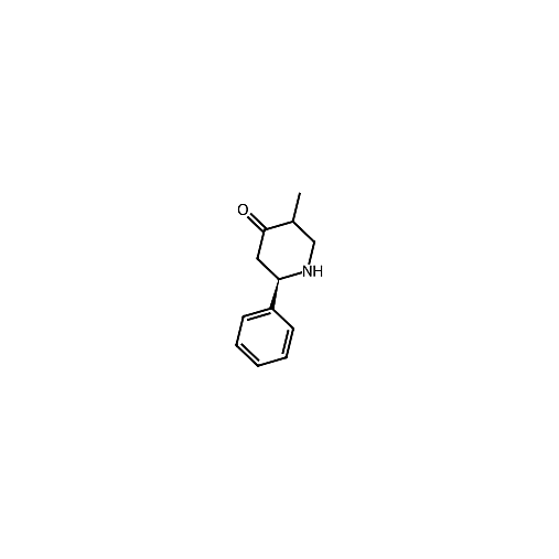 CC1CN[C@@H](c2ccccc2)CC1=O